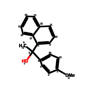 COc1ccc(C(C)(O)c2cccc3ccccc23)cc1